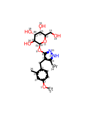 CCOc1ccc(Cc2c(O[C@@H]3OC(CO)[C@@H](O)[C@@H](O)C3O)n[nH]c2C(C)C)c(C)c1